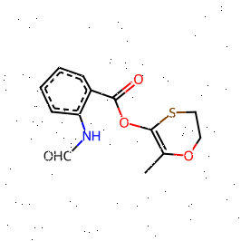 CC1=C(OC(=O)c2ccccc2NC=O)SCCO1